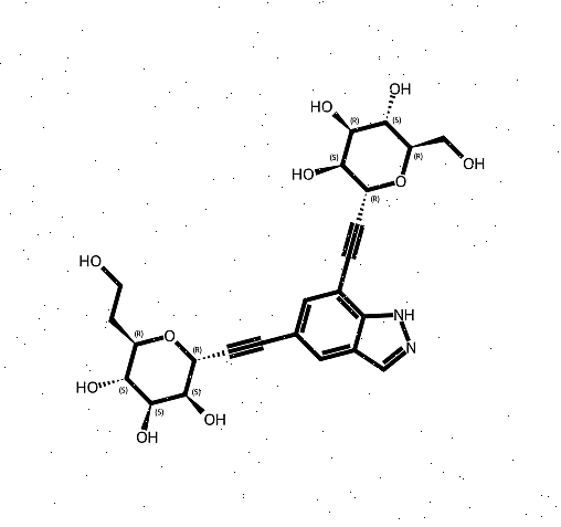 OCC[C@H]1O[C@H](C#Cc2cc(C#C[C@H]3O[C@H](CO)[C@@H](O)[C@H](O)[C@@H]3O)c3[nH]ncc3c2)[C@@H](O)[C@@H](O)[C@@H]1O